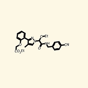 CCOC(=O)COc1ccccc1-c1nn(C(OCC)C(=O)NCc2ccc(C#N)cc2)cc1C